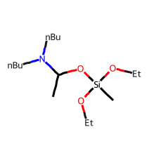 CCCCN(CCCC)C(C)O[Si](C)(OCC)OCC